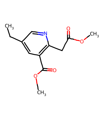 CCc1cnc(CC(=O)OC)c(C(=O)OC)c1